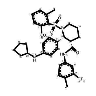 Cc1ccc(NC(=O)[C@H]2CCCN(S(=O)(=O)c3c(C)cccc3C(=O)O)[C@H]2c2ccc(NC3CCCC3)cc2)cc1C(F)(F)F